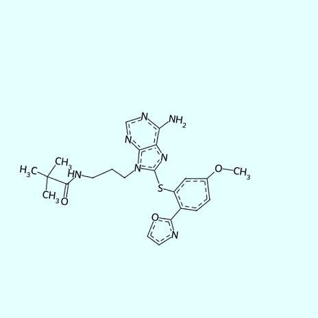 COc1ccc(-c2ncco2)c(Sc2nc3c(N)ncnc3n2CCCNC(=O)C(C)(C)C)c1